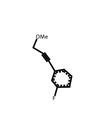 COCC#Cc1cc[c]c(F)c1